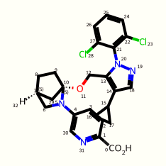 O=C(O)c1ccc(N2C[C@H]3CC[C@]2(OCc2c(C4CC4)cnn2-c2c(Cl)cccc2Cl)C3)cn1